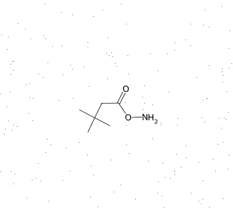 CC(C)(C)CC(=O)ON